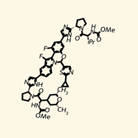 COC(=O)NC(C(=O)N1CCC[C@H]1c1ncc(-c2ccc3c(c2)c(F)c2n3C(c3cnc(C4CC4)s3)Oc3cc(-c4cnc([C@@H]5CCCN5C(=O)[C@@H](NC(=O)OC)C(C)C)[nH]4)cc(F)c3-2)[nH]1)C1C[C@@H](C)O[C@@H](C)C1